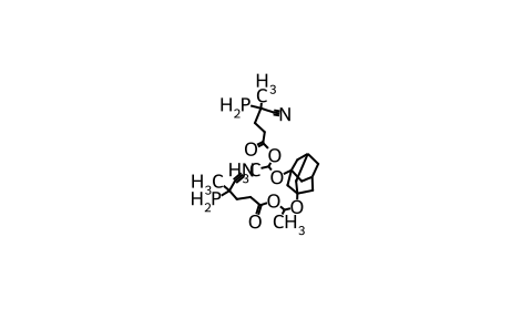 CC(OC(=O)CCC(C)(P)C#N)OC12CC3CC(C1)CC(OC(C)OC(=O)CCC(C)(P)C#N)(C3)C2